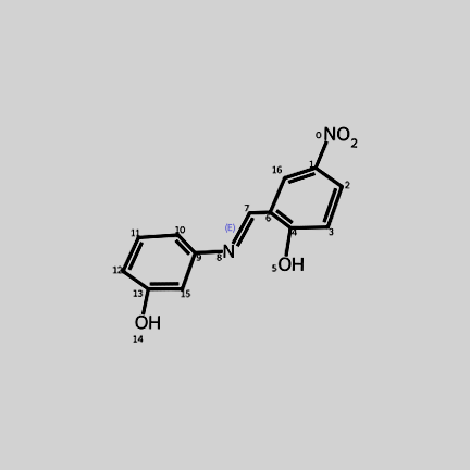 O=[N+]([O-])c1ccc(O)c(/C=N/c2cccc(O)c2)c1